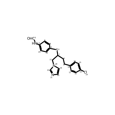 O=CNc1ccc(SC(CCc2ccc(Cl)cc2)Cn2ccnc2)cc1